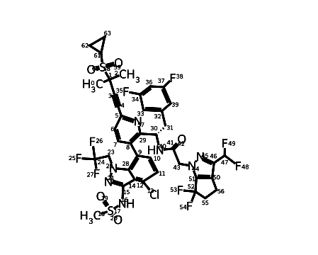 CC(C)(C#Cc1ccc(-c2ccc(Cl)c3c(NS(C)(=O)=O)nn(CC(F)(F)F)c23)c([C@H](Cc2cc(F)cc(F)c2)NC(=O)Cn2nc(C(F)F)c3c2C(F)(F)CC3)n1)S(=O)(=O)C1CC1